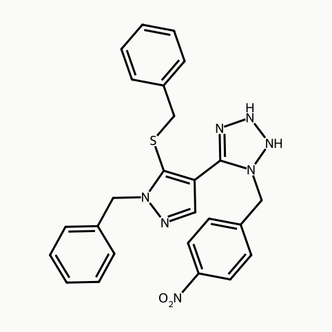 O=[N+]([O-])c1ccc(CN2NNN=C2c2cnn(Cc3ccccc3)c2SCc2ccccc2)cc1